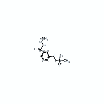 CCC(C)(CC)CCc1cccc(C(O)CCN)c1